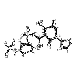 Cc1cn(-c2nccs2)c(=O)c(C2=NS(=O)(=O)c3cc(NS(C)(=O)=O)ccc3N2)c1O